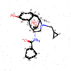 O=C(N[C@@H]1C[C@]23CCN(CC4CC4)[C@H](Cc4ccc(O)cc42)[C@]3(O)C1)c1ccccc1